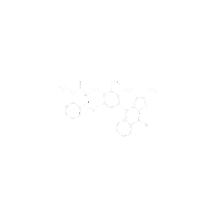 COC(=O)[C@H](Cc1ccccc1)Oc1c(C)cc(-c2c3ccccc3c(Br)c3sc(C)c(C)c23)cc1C